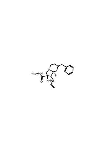 C=CCC1[C@@H]2CN(Cc3ccccc3)CCN2CC1(NC(C)=O)C(=O)NC(C)(C)C